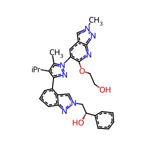 Cc1c(C(C)C)c(-c2cccc3nn(C[C@H](O)c4ccccc4)cc23)nn1-c1cc2cn(C)nc2nc1OCCO